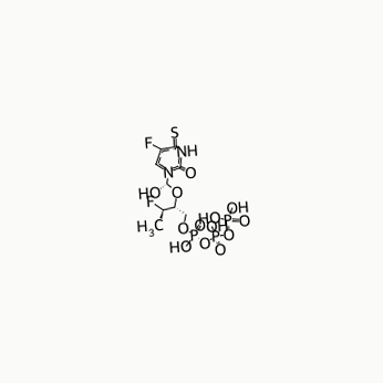 C[C@@H](F)[C@@H](COP(=O)(O)OP(=O)(O)OP(=O)(O)O)O[C@H](O)n1cc(F)c(=S)[nH]c1=O